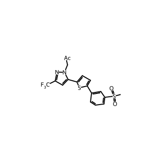 CC(=O)Cn1nc(C(F)(F)F)cc1-c1ccc(-c2cccc(S(C)(=O)=O)c2)s1